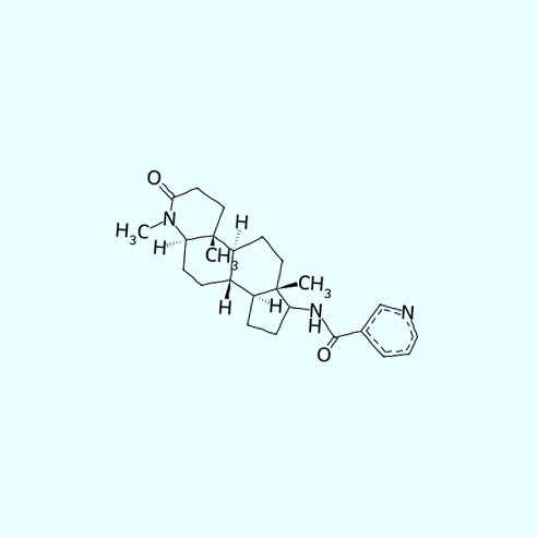 CN1C(=O)CC[C@]2(C)[C@H]3CC[C@]4(C)C(NC(=O)c5cccnc5)CC[C@H]4[C@@H]3CC[C@@H]12